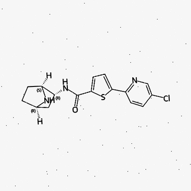 O=C(N[C@@H]1C[C@H]2CC[C@@H]1N2)c1ccc(-c2ccc(Cl)cn2)s1